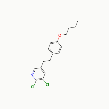 CCCCOc1ccc(CCc2cnc(Cl)c(Cl)c2)cc1